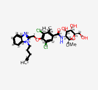 C#CCCCn1c(COc2c(Cl)cc(C(=O)N[C@H]3[C@@H](OC)O[C@H](CO)[C@@H](O)[C@@H]3O)c(C)c2Cl)nc2ccccc21